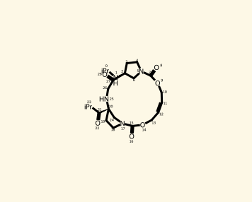 CC(C)N[C@]12CCN(C1)C(=O)OCC=CCOC(=O)N1CC[C@@](C(=O)C(C)C)(C1)NCC2=O